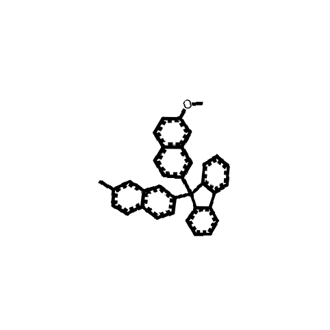 COc1ccc2ccc(C3(c4ccc5ccc(C)cc5c4)c4ccccc4-c4ccccc43)cc2c1